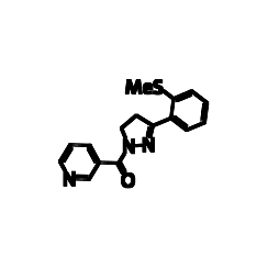 CSc1ccccc1C1=NN(C(=O)c2cccnc2)CC1